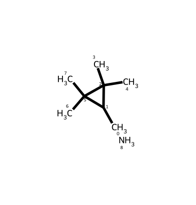 CC1C(C)(C)C1(C)C.N